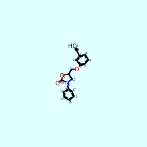 C#Cc1cccc(OCC2CN(c3ccccc3)C(=O)O2)c1